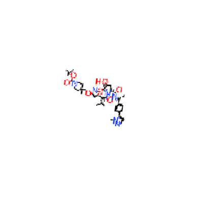 CC(C)[C@@H](C(=O)N1C[C@H](O)C[C@H]1C(=O)N[C@@H](C)c1ccc(-c2ccnn2C)cc1)c1cc(OCC2(C)CCN(C(=O)OC(C)(C)C)CC2)no1